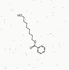 O=C(OCCCCCCCCO)c1ccccc1